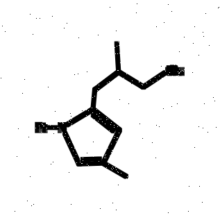 CCn1cc(C)cc1CC(C)CC(C)(C)C